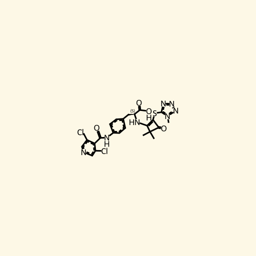 Cn1nnnc1SC1=C(N[C@@H](Cc2ccc(NC(=O)c3c(Cl)cncc3Cl)cc2)C(=O)O)C(C)(C)C1=O